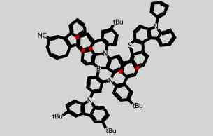 CC(C)(C)c1ccc(N2c3cc(-n4c5c(c6ccccc64)/C=C(/C#N)C/C=C\C5)ccc3B3c4ccc(-n5c6ccc(C(C)(C)C)cc6c6cc(C(C)(C)C)ccc65)cc4N(c4ccc(C(C)(C)C)cc4-c4ccccc4)c4cc(-c5cccc6c5sc5ccc7c(c8ccccc8n7-c7ccccc7)c56)cc2c43)c(-c2ccccc2)c1